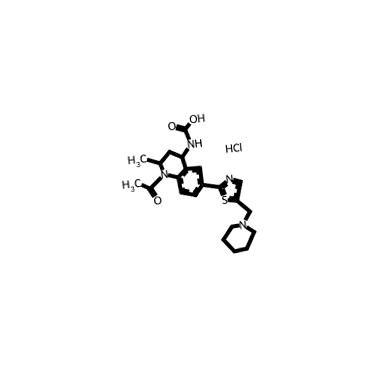 CC(=O)N1c2ccc(-c3ncc(CN4CCCCC4)s3)cc2C(NC(=O)O)CC1C.Cl